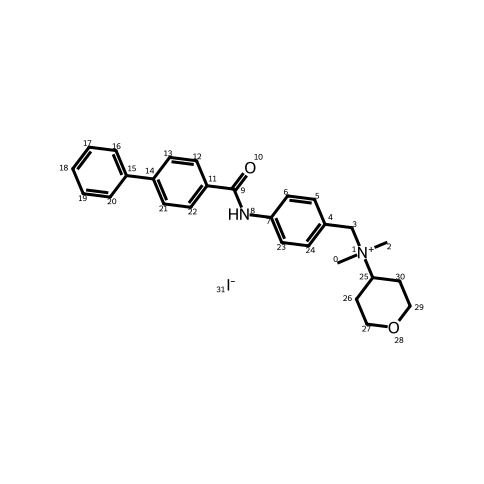 C[N+](C)(Cc1ccc(NC(=O)c2ccc(-c3ccccc3)cc2)cc1)C1CCOCC1.[I-]